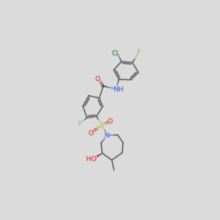 CC1CCCN(S(=O)(=O)c2cc(C(=O)Nc3ccc(F)c(Cl)c3)ccc2F)C[C@@H]1O